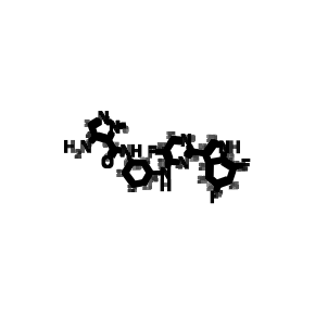 Cn1ncc(N)c1C(=O)N[C@@H]1CCC[C@H](Nc2nc(-c3c[nH]c4c(F)cc(F)cc34)ncc2F)C1